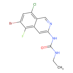 CCNC(=O)Nc1cc2c(F)c(Br)cc(Cl)c2cn1